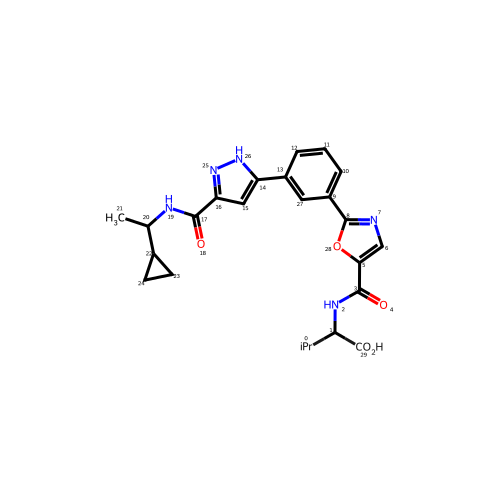 CC(C)C(NC(=O)c1cnc(-c2cccc(-c3cc(C(=O)NC(C)C4CC4)n[nH]3)c2)o1)C(=O)O